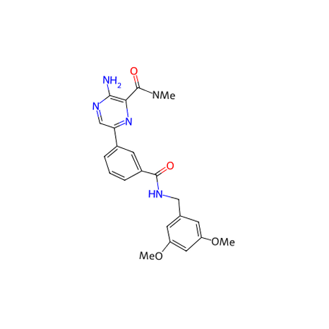 CNC(=O)c1nc(-c2cccc(C(=O)NCc3cc(OC)cc(OC)c3)c2)cnc1N